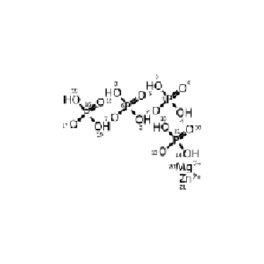 O=P([O-])(O)O.O=P([O-])(O)O.O=P([O-])(O)O.O=P([O-])(O)O.[Mg+2].[Zn+2]